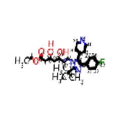 CCOC(=O)C[C@H](O)C[C@H](O)/C=C/n1c(C(C)(C)C)nc(-c2ccc(F)cc2)c1-c1ccncc1